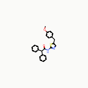 COc1ccc(Cc2cnc(NC(=O)C(c3ccccc3)c3ccccc3)s2)cc1